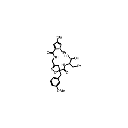 COc1cccc(CC2(C(=O)NC(CC(C)C)B(O)O)CC(CNC(=O)c3cc(C(C)(C)C)nn3C(C)C)=NO2)c1